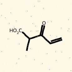 C=CC(=O)C(C)C(=O)O